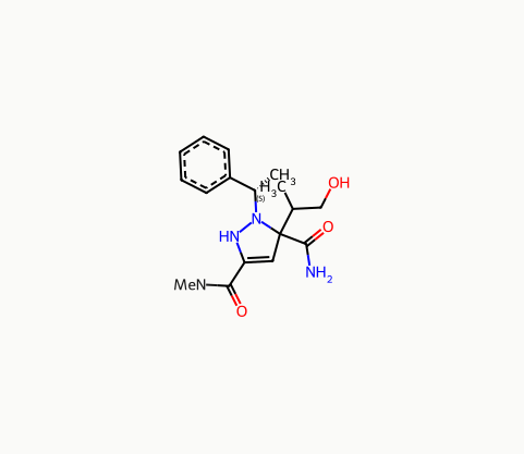 CNC(=O)C1=CC(C(N)=O)(C(C)CO)N([C@@H](C)c2ccccc2)N1